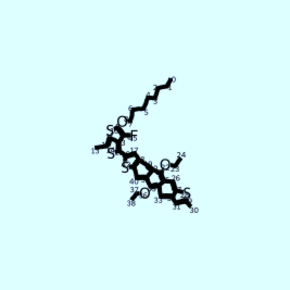 CCCCCCCCOc1sc2c(C)sc(-c3cc4cc5c(OCC)c6cc7sc(C)cc7cc6c(OCC)c5cc4s3)c2c1F